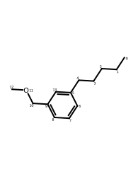 CCCCCc1cccc(COC)c1